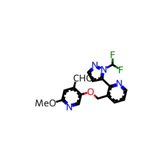 COc1cc(C=O)c(OCc2cccnc2-c2ccnn2C(F)F)cn1